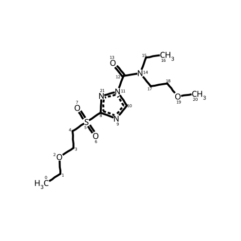 CCOCCS(=O)(=O)c1ncn(C(=O)N(CC)CCOC)n1